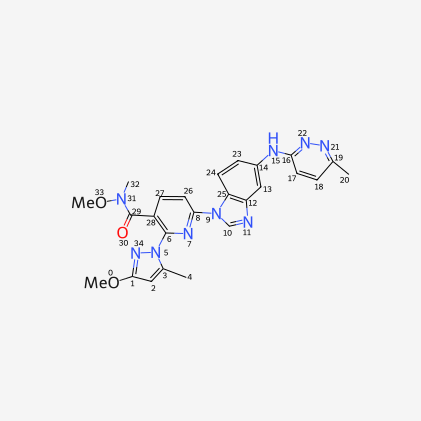 COc1cc(C)n(-c2nc(-n3cnc4cc(Nc5ccc(C)nn5)ccc43)ccc2C(=O)N(C)OC)n1